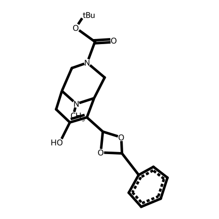 CN1C2CC(O)=C(C3OC(c4ccccc4)O3)C1CN(C(=O)OC(C)(C)C)C2